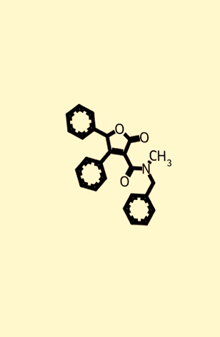 CN(Cc1ccccc1)C(=O)C1=C(c2ccccc2)C(c2ccccc2)OC1=O